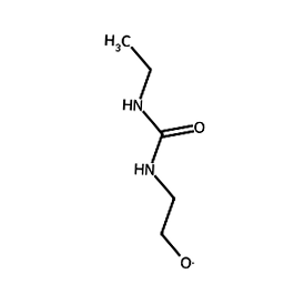 CCNC(=O)NCC[O]